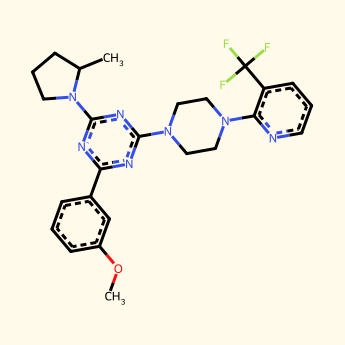 COc1cccc(-c2nc(N3CCN(c4ncccc4C(F)(F)F)CC3)nc(N3CCCC3C)n2)c1